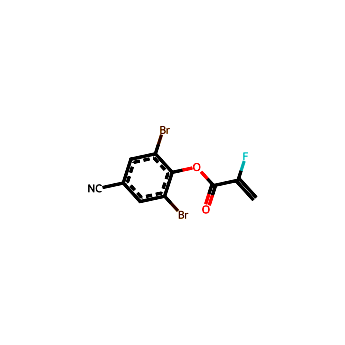 C=C(F)C(=O)Oc1c(Br)cc(C#N)cc1Br